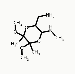 CNC1OC(C)(OC)C(C)(OC)OC1CN